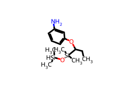 CCC(Oc1cccc(N)c1)[Si](C)(C)O[SiH](C)C